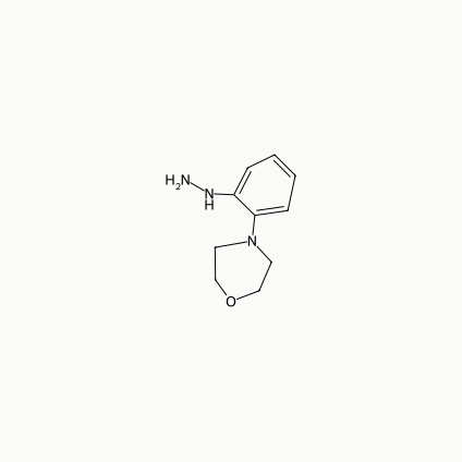 NNc1ccccc1N1CCOCC1